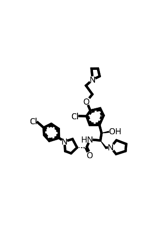 O=C(N[C@H](CN1CCCC1)[C@H](O)c1ccc(OCCN2CCC2)c(Cl)c1)[C@@H]1CCN(c2ccc(Cl)cc2)C1